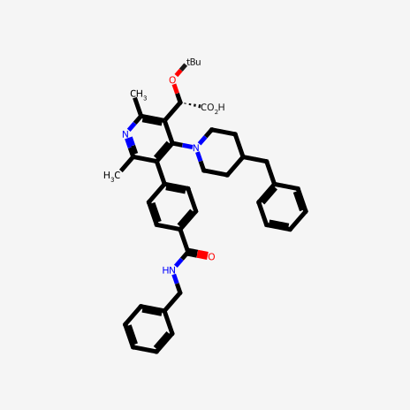 Cc1nc(C)c([C@H](OC(C)(C)C)C(=O)O)c(N2CCC(Cc3ccccc3)CC2)c1-c1ccc(C(=O)NCc2ccccc2)cc1